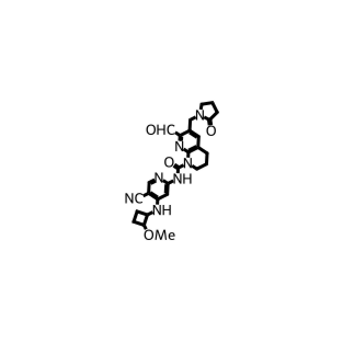 COC1CCC1Nc1cc(NC(=O)N2CCCc3cc(CN4CCCC4=O)c(C=O)nc32)ncc1C#N